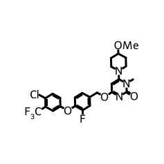 COC1CCN(c2cc(OCc3ccc(Oc4ccc(Cl)c(C(F)(F)F)c4)c(F)c3)nc(=O)n2C)CC1